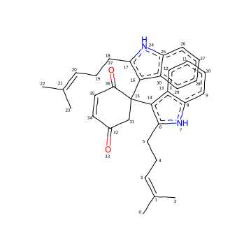 CC(C)=CCCc1[nH]c2ccccc2c1C1(c2c(CCC=C(C)C)[nH]c3ccccc23)CC(=O)C=CC1=O